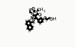 CC(C)Cn1c(=O)n(C)c(=O)c2c(-c3cccc(OCCO)c3)n(Cc3cccc4ccccc34)nc21